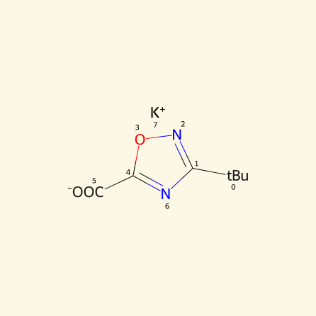 CC(C)(C)c1noc(C(=O)[O-])n1.[K+]